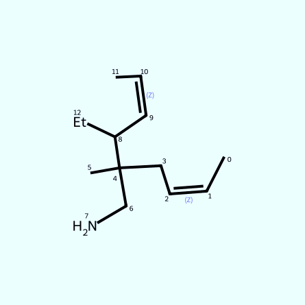 C/C=C\CC(C)(CN)C(/C=C\C)CC